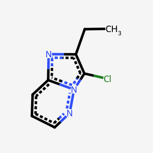 CCc1nc2cccnn2c1Cl